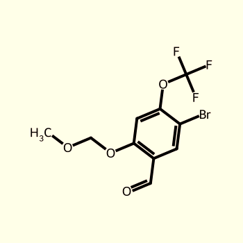 COCOc1cc(OC(F)(F)F)c(Br)cc1C=O